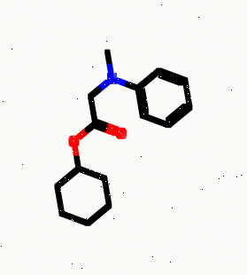 CN(CC(=O)OC1CCCCC1)c1ccccc1